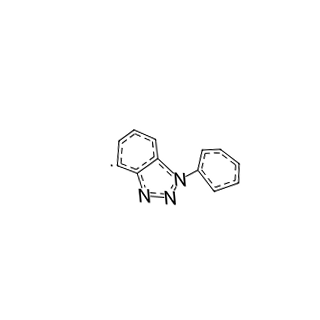 [c]1cccc2c1nnn2-c1ccccc1